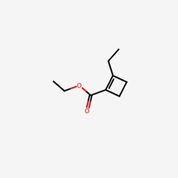 CCOC(=O)C1=C(CC)CC1